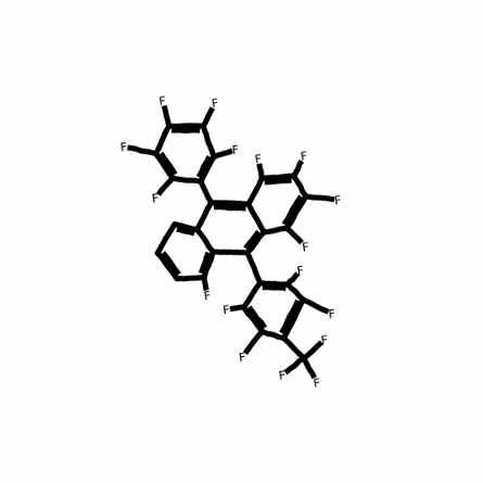 Fc1c(F)c(F)c(-c2c3cccc(F)c3c(-c3c(F)c(F)c(C(F)(F)F)c(F)c3F)c3c(F)c(F)c(F)c(F)c23)c(F)c1F